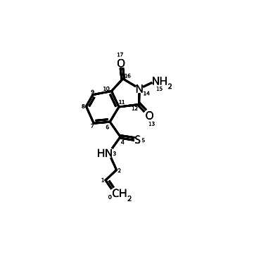 C=CCNC(=S)c1cccc2c1C(=O)N(N)C2=O